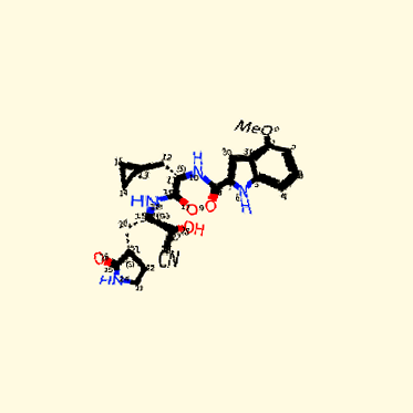 COc1cccc2[nH]c(C(=O)N[C@@H](CC3CC3)C(=O)N[C@@H](C[C@@H]3CCNC3=O)C(O)C#N)cc12